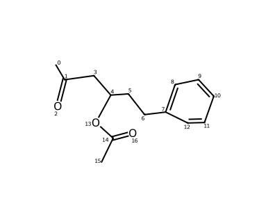 CC(=O)CC(CCc1ccccc1)OC(C)=O